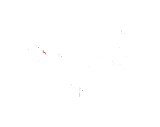 CS(=O)(=O)N1C2CC1CN(c1ccc(-c3n[nH]c4ccc(O[C@H](N)c5c(Cl)cncc5Cl)cc34)cn1)C2